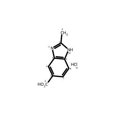 Cc1nc2cc(C(=O)O)ccc2[nH]1.Cl